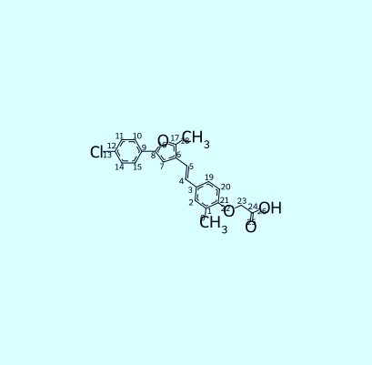 Cc1cc(C=Cc2cc(-c3ccc(Cl)cc3)oc2C)ccc1OCC(=O)O